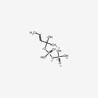 CC=CC(C)(O)OP(=O)(O)OP(=O)(O)O